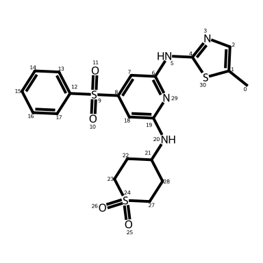 Cc1cnc(Nc2cc(S(=O)(=O)c3ccccc3)cc(NC3CCS(=O)(=O)CC3)n2)s1